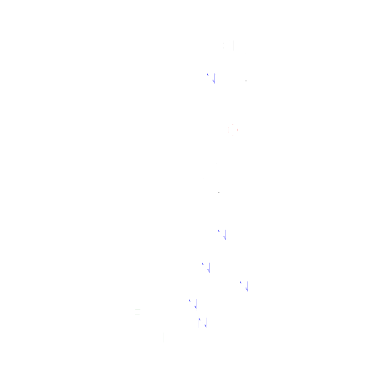 FC(F)Cn1ncc2ncc(N3CCC4(CC3)CC(COc3ccc(C(F)(F)F)nc3)C4)nc21